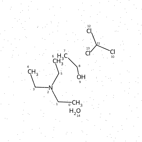 CCN(CC)CC.CCO.ClC(Cl)Cl.O